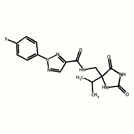 CC(C)C1(CNC(=O)c2cnn(-c3ccc(F)cc3)n2)NC(=O)NC1=O